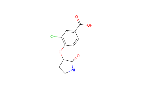 O=C(O)c1ccc(OC2CCNC2=O)c(Cl)c1